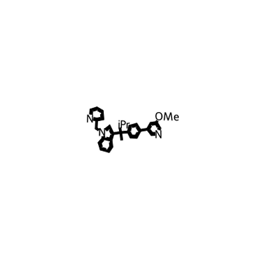 COc1cncc(-c2ccc(C(C)(c3cn(Cc4ccccn4)c4ccccc34)C(C)C)cc2)c1